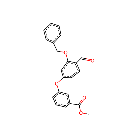 COC(=O)c1cccc(Oc2ccc(C=O)c(OCc3ccccc3)c2)c1